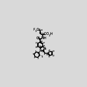 C[C@@H]1CCCC[C@H]1n1c(Cc2cccs2)nc2cc(C(=O)NC(CCC(F)(F)F)C(=O)O)ccc21